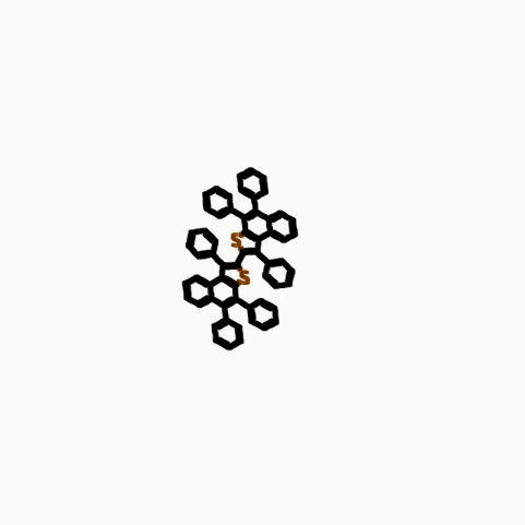 c1ccc(-c2c(-c3ccccc3)c3sc(-c4sc5c(-c6ccccc6)c(-c6ccccc6)c6ccccc6c5c4-c4ccccc4)c(-c4ccccc4)c3c3ccccc23)cc1